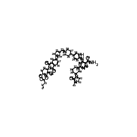 CCCC(=O)ON1C(=O)CCC(N2C(=O)c3ccc(N4CCC(CN5CCC(c6ccc(Nc7nc(N8CCCC(N9CCN(C)C9=O)C8)nnc7C(N)=O)cc6)CC5)C4)cc3C2=O)C1=O